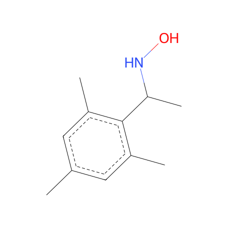 Cc1cc(C)c(C(C)NO)c(C)c1